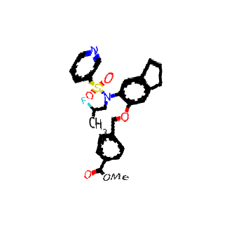 COC(=O)c1ccc(COc2cc3c(cc2N(CC(C)F)S(=O)(=O)c2cccnc2)CCC3)cc1